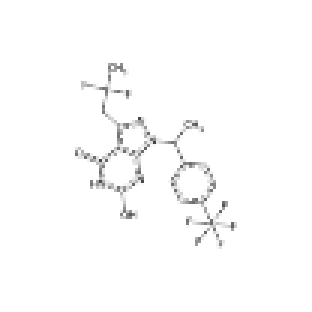 CC(c1ccc(S(F)(F)(F)(F)F)cc1)n1nc(CC(C)(F)F)c2c(=O)[nH]c(O)nc21